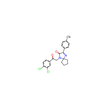 N#Cc1ccc(C2=NC3(CCCC3)N(CC(=O)c3ccc(Cl)c(Cl)c3)C2=O)cc1